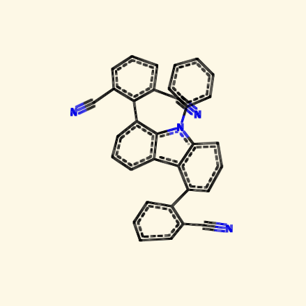 N#Cc1ccccc1-c1cccc2c1c1cccc(-c3c(C#N)cccc3C#N)c1n2-c1ccccc1